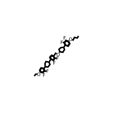 CCCCOc1ccc(C2CCC(OCc3ccc(C4CCC(c5ccc(OCC)c(F)c5F)CC4)c(F)c3F)CC2)c(F)c1F